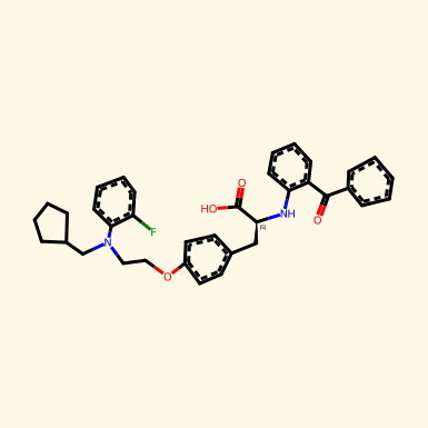 O=C(c1ccccc1)c1ccccc1N[C@@H](Cc1ccc(OCCN(CC2CCCC2)c2ccccc2F)cc1)C(=O)O